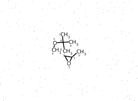 CC1CO1.COC(C)(C)C